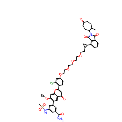 CCOc1cc2oc(-c3ccc(OCCOCCOCCOCCC4CC4c4cccc5c4C(=O)N(C4CCC(=O)CCC4C)C5=O)cc3Cl)cc(=O)c2cc1-c1cc(NS(C)(=O)=O)cc(C(N)=O)c1